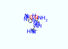 COc1c(Nc2nc(NC(C)c3c(C)n[nH]c3C)ncc2C(N)=O)cccc1-c1ncn(C)n1